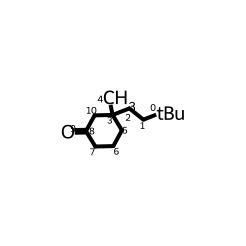 CC(C)(C)CCC1(C)CCCC(=O)C1